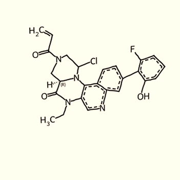 C=CC(=O)N1CC(Cl)N2c3c(cnc4cc(-c5c(O)cccc5F)ccc34)N(CC)C(=O)[C@H]2C1